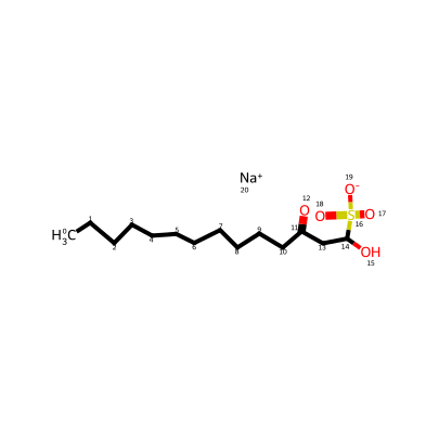 CCCCCCCCCCCC(=O)CC(O)S(=O)(=O)[O-].[Na+]